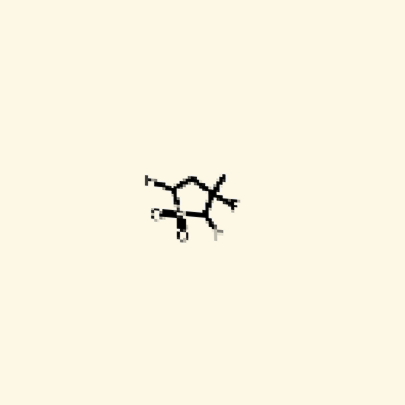 CC1(F)CC(F)S(=O)(=O)C1F